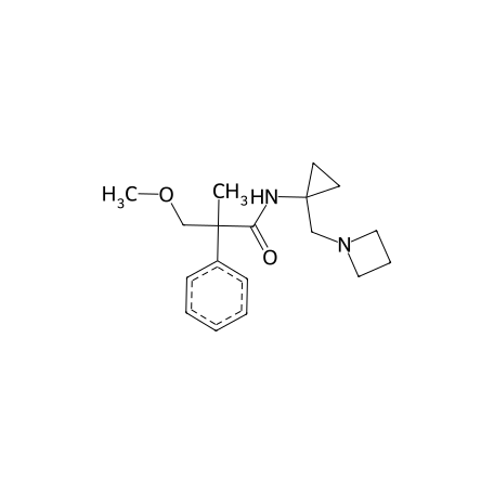 COCC(C)(C(=O)NC1(CN2CCC2)CC1)c1ccccc1